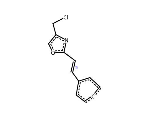 ClCc1coc(/C=C/c2ccccc2)n1